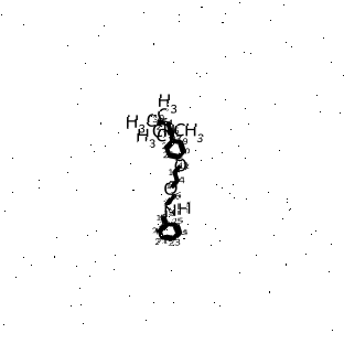 CC(C)(C)CC(C)(C)c1ccc(OCCOCCNCc2ccccc2)cc1